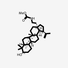 C=C(C)[C@@H]1CC[C@]2(CCNC(=O)OC)CC[C@]3(C)[C@H](CC[C@@H]4[C@@]5(C)CC[C@H](O)C(C)(C)[C@@H]5CC[C@]43C)[C@@H]12